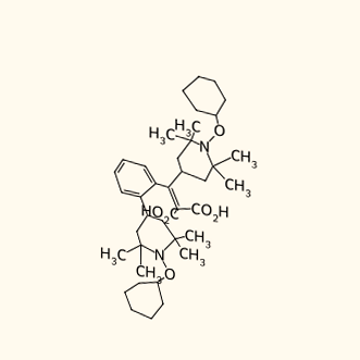 CC1(C)CC(C(=C(C(=O)O)C(=O)O)c2ccccc2C2CC(C)(C)N(OC3CCCCC3)C(C)(C)C2)CC(C)(C)N1OC1CCCCC1